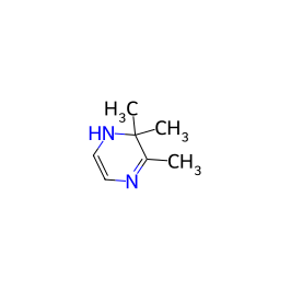 CC1=NC=CNC1(C)C